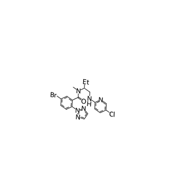 CCC(CNc1ccc(Cl)cn1)N(C)C(=O)c1cc(Br)ccc1-n1nccn1